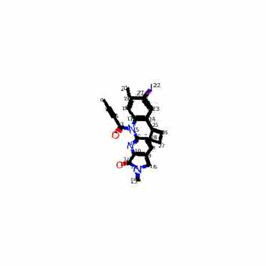 CC#CC(=O)N(c1ccc2c(n1)C(=O)N(C)C2)c1cc(C)c(I)cc1C1CCC1